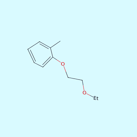 [CH2]COCCOc1ccccc1C